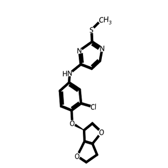 CSc1nccc(Nc2ccc(O[C@H]3COC4CCOC43)c(Cl)c2)n1